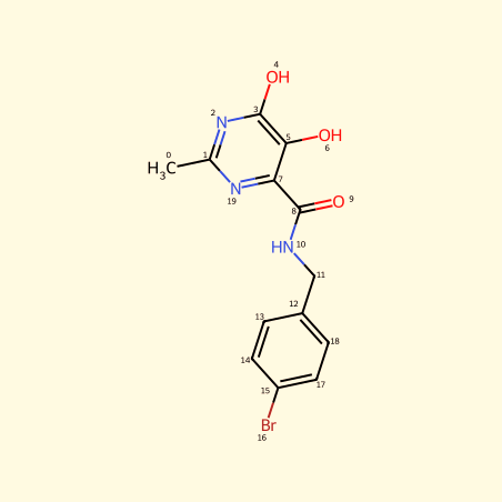 Cc1nc(O)c(O)c(C(=O)NCc2ccc(Br)cc2)n1